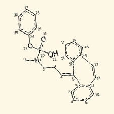 CN(CCC=C1c2ccccc2C=Cc2ccccc21)P(=O)(O)Oc1ccccc1